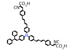 [C-]#[N+]/C(=C\c1ccc(/C=C/C=C/c2ccc(N(c3ccc(C=C(c4ccccc4)c4ccccc4)cc3)c3ccc(/C=C/C=C/c4ccc(/C=C(\[N+]#[C-])C(=O)O)cc4)cc3)cc2)cc1)C(=O)O